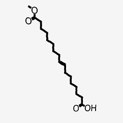 COC(=O)CCCCCCCC=CCCCCCCC(=O)O